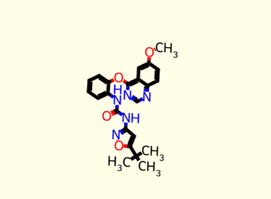 COc1ccc2ncnc(Oc3ccccc3NC(=O)Nc3cc(C(C)(C)C)on3)c2c1